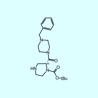 CC(C)(C)OC(=O)N1CCNC[C@@H]1C(=O)N1CCN(Cc2ccccc2)CC1